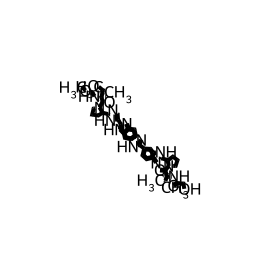 COC(=O)N[C@@H](C(=O)N1CCCC1c1ncc(-c2nc3cc4nc(-c5ccc6nc(C7CCCN7C(=O)[C@@H](NC(=O)CO)C(C)C)[nH]c6c5)[nH]c4cc3[nH]2)[nH]1)C(C)C